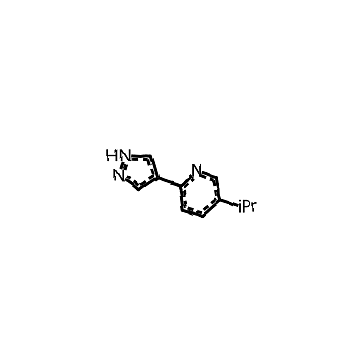 CC(C)c1ccc(-c2cn[nH]c2)nc1